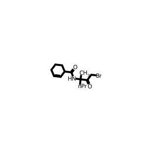 CCCC(C)(NC(=O)C1C=CCCC1)C(=O)CBr